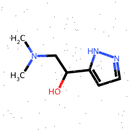 [CH2]N(C)CC(O)c1ccn[nH]1